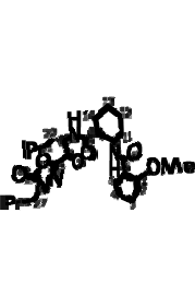 COc1ccccc1C(=O)N[C@H]1CCCC[C@H]1C(=O)N[C@@H](CC(C)C)C(=O)c1nn(CC(C)C)c(=O)o1